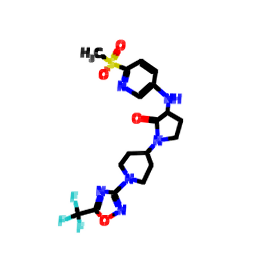 CS(=O)(=O)c1ccc(NC2CCN(C3CCN(c4noc(C(F)(F)F)n4)CC3)C2=O)cn1